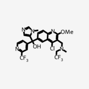 COc1nc2ccc(C(O)(c3ccnc(C(F)(F)F)c3)c3cncn3C)cc2c(Cl)c1CN(C)CC(F)(F)F